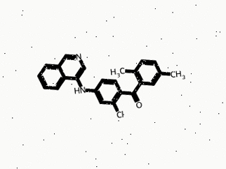 Cc1ccc(C)c(C(=O)c2ccc(Nc3cncc4ccccc34)cc2Cl)c1